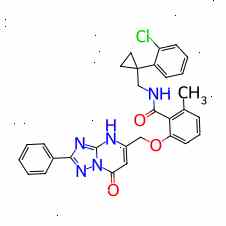 Cc1cccc(OCc2cc(=O)n3nc(-c4ccccc4)nc3[nH]2)c1C(=O)NCC1(c2ccccc2Cl)CC1